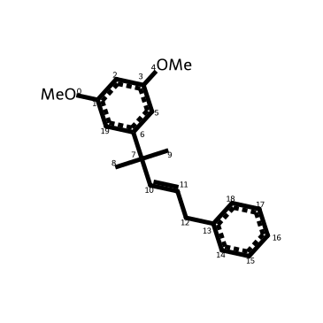 COc1cc(OC)cc(C(C)(C)/C=C/Cc2ccccc2)c1